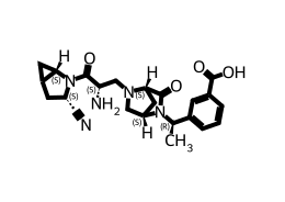 C[C@H](c1cccc(C(=O)O)c1)N1C(=O)[C@@H]2C[C@H]1CN2C[C@H](N)C(=O)N1[C@H](C#N)CC2C[C@@H]21